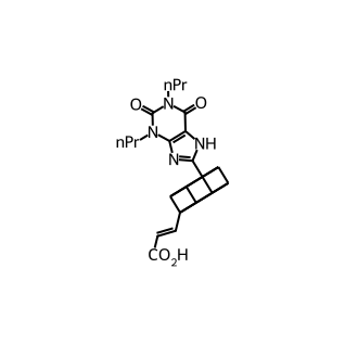 CCCn1c(=O)c2[nH]c(C34C5C6C3C3C4C5C63C=CC(=O)O)nc2n(CCC)c1=O